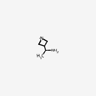 CC(N)C1C[N]C1